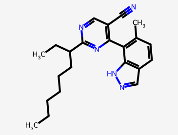 CCCCCCC(CC)c1ncc(C#N)c(-c2c(C)ccc3cn[nH]c23)n1